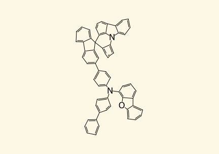 c1ccc(-c2ccc(N(c3ccc(-c4ccc5c(c4)C4(c6ccccc6-5)c5ccccc5-n5c6ccccc6c6cccc4c65)cc3)c3cccc4c3oc3ccccc34)cc2)cc1